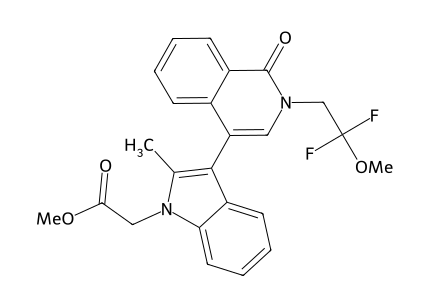 COC(=O)Cn1c(C)c(-c2cn(CC(F)(F)OC)c(=O)c3ccccc23)c2ccccc21